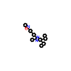 c1ccc(-c2nc3cc(-c4cccc5ccccc45)c(-c4cccc5ccccc45)cc3nc2-c2ccc(-c3ccc(-c4nc5ccccc5o4)cc3)cc2)cc1